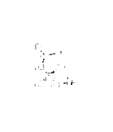 CCCOS(=O)(=O)OC(F)F